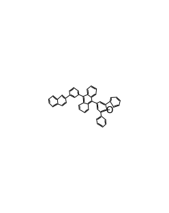 c1ccc(-c2cc(-c3c4ccccc4c(-c4cccc(-c5ccc6ccccc6c5)c4)c4ccccc34)cc3c2oc2ccccc23)cc1